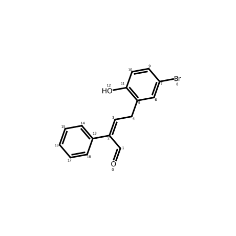 O=CC(=CCc1cc(Br)ccc1O)c1ccccc1